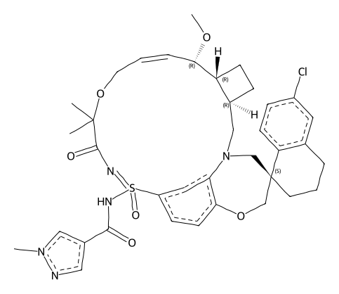 CO[C@H]1C=CCOC(C)(C)C(=O)N=S(=O)(NC(=O)c2cnn(C)c2)c2ccc3c(c2)N(C[C@@H]2CC[C@H]21)C[C@@]1(CCCc2cc(Cl)ccc21)CO3